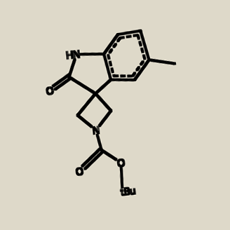 Cc1ccc2c(c1)C1(CN(C(=O)OC(C)(C)C)C1)C(=O)N2